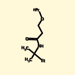 CCCOCCC(=O)NC(C)(C)CC